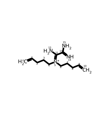 C=CCCC[N+](CCCC=C)=C(N)C(=N)N